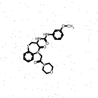 COc1cccc(NC(=O)NC2CSc3ccccc3N(CC(=O)N3CCOCC3)C2=O)c1